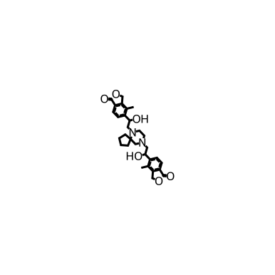 Cc1c(C(O)CN2CCN(CC(O)c3ccc4c(c3C)COC4=O)C3(CCCC3)C2)ccc2c1COC2=O